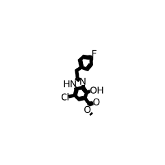 COC(=O)c1cc(Cl)c2[nH]c(Cc3ccc(F)cc3)nc2c1O